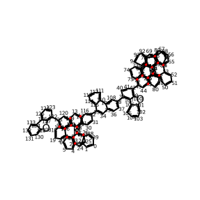 C1=CC2c3ccccc3N(c3ccccc3-c3ccccc3-c3ccccc3N(c3ccc(-c4cc5ccc(-c6ccc(-c7ccc(N(c8ccccc8-c8ccccc8-c8ccccc8)c8ccccc8-c8ccccc8-c8ccccc8-n8c9ccccc9c9ccccc98)cc7)c7oc8ccccc8c67)cc5c5ccccc45)cc3)c3ccc(-c4cccc5c4oc4ccccc45)cc3)C2C=C1